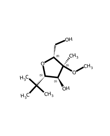 CO[C@]1(C)[C@@H](CO)O[C@@H](C(C)(C)C)[C@@H]1O